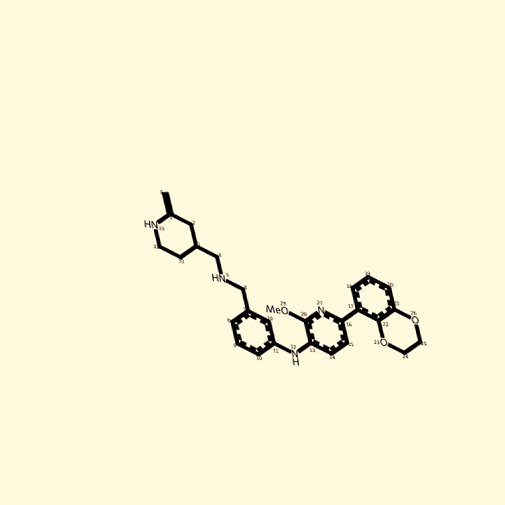 C=C1CC(CNCc2cccc(Nc3ccc(-c4cccc5c4OCCO5)nc3OC)c2)CCN1